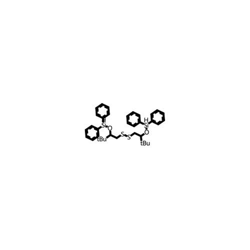 CC(C)(C)C(CSSCC(O[SiH](c1ccccc1)c1ccccc1)C(C)(C)C)O[SiH](c1ccccc1)c1ccccc1